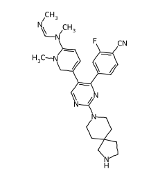 C/N=C\N(C)C1=CC=C(c2cnc(N3CCC4(CCNC4)CC3)nc2-c2ccc(C#N)c(F)c2)CN1C